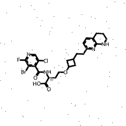 O=C(N[C@@H](CCOC1CC(CCc2ccc3c(n2)NCCC3)C1)C(=O)O)c1c(Cl)cnc(F)c1Br